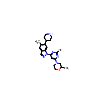 Cc1nc(N2CCOC(C)C2)cc(-n2ncc3cc(C)c(C4CCNCC4)cc32)n1